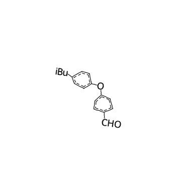 CCC(C)c1ccc(Oc2ccc(C=O)cc2)cc1